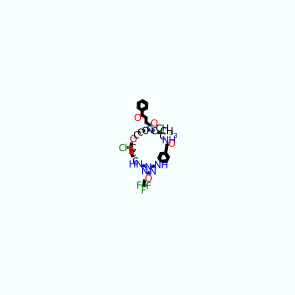 CC1(C)CNC(=O)c2ccc(cc2)Nc2nc(nc(OCC(F)(F)F)n2)NCC2=CC(Cl)=C(CC2)OCCCN(C(=O)CCC(=O)c2ccccc2)C1